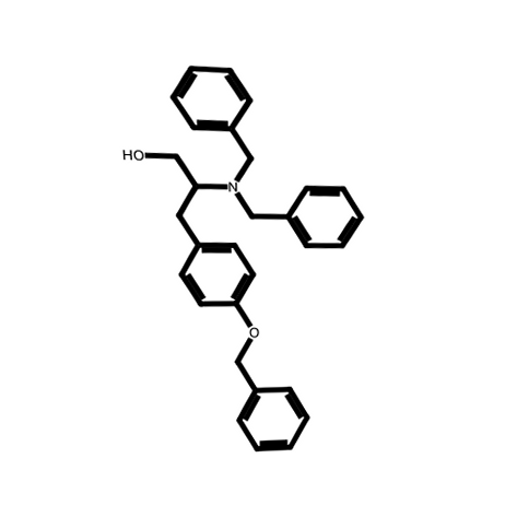 OCC(Cc1ccc(OCc2ccccc2)cc1)N(Cc1ccccc1)Cc1ccccc1